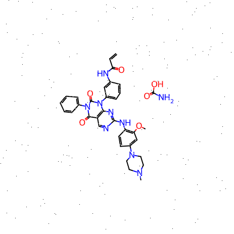 C=CC(=O)Nc1cccc(-n2c(=O)n(-c3ccccc3)c(=O)c3cnc(Nc4ccc(N5CCN(C)CC5)cc4OC)nc32)c1.NC(=O)O